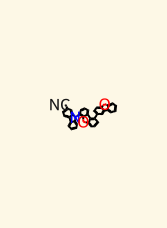 N#Cc1ccc2c3ccccc3n(-c3cccc4c3oc3cccc(-c5ccc6oc7ccccc7c6c5)c34)c2c1